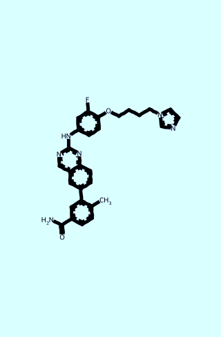 Cc1ccc(C(N)=O)cc1-c1ccc2nc(Nc3ccc(OCCCCn4ccnc4)c(F)c3)ncc2c1